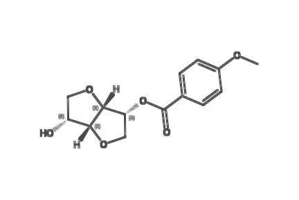 COc1ccc(C(=O)O[C@@H]2CO[C@H]3[C@@H]2OC[C@H]3O)cc1